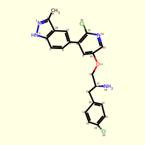 Cc1n[nH]c2ccc(-c3cc(OC[C@@H](N)Cc4ccc(Cl)cc4)cnc3Cl)cc12